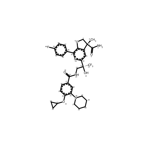 C[C@]1(C(N)=O)COc2c1cc([C@@](O)(CNC(=O)c1ccc(OC3CC3)c(N3CCCCC3)c1)C(F)(F)F)nc2-c1ccc(F)cc1